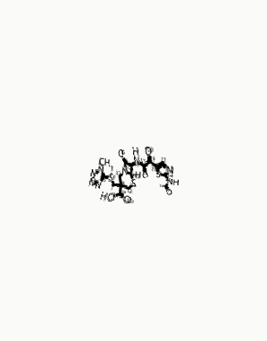 Cn1nnnc1SCC1(C(=O)O)CS[C@@H]2C(NC(=O)C(=O)c3cnc(NC=O)s3)C(=O)N2C1